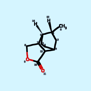 C[C@@H]1CC2CC[C@H]1C1COC(=O)C21